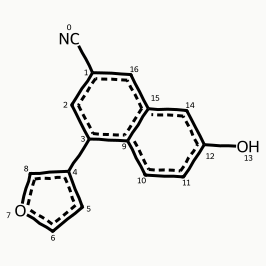 N#Cc1cc(-c2ccoc2)c2ccc(O)cc2c1